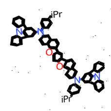 CC(C)c1ccc(N(c2ccc3c(ccc4c5cc6c(cc5oc34)oc3c4ccc(N(c5ccc(C(C)C)cc5)c5cc7c8ccccc8n8c9ccccc9c(c5)c78)cc4ccc63)c2)c2cc3c4ccccc4n4c5ccccc5c(c2)c34)cc1